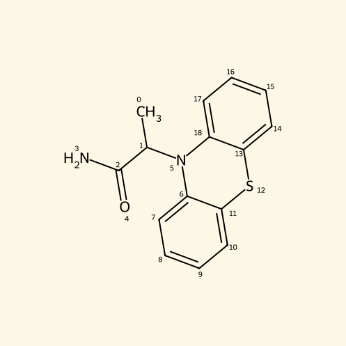 CC(C(N)=O)N1c2ccccc2Sc2ccccc21